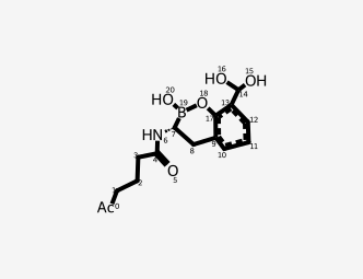 CC(=O)CCCC(=O)N[C@H]1Cc2cccc(C(O)O)c2OB1O